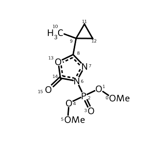 COOP(=O)(OOC)n1nc(C2(C)CC2)oc1=O